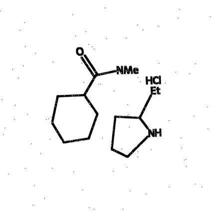 CCC1CCCN1.CNC(=O)C1CCCCC1.Cl